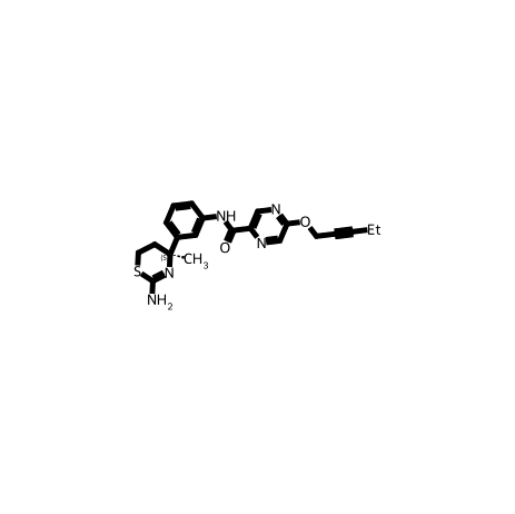 CCC#CCOc1cnc(C(=O)Nc2cccc([C@]3(C)CCSC(N)=N3)c2)cn1